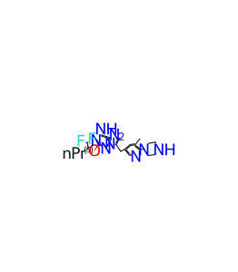 CCC[C@H](Oc1nc(N)c2ncc(Cc3cnc(N4CCNCC4)c(C)c3)n2n1)C(F)F